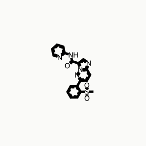 CS(=O)(=O)c1ccccc1-c1ccc2ncc(C(=O)Nc3ccccn3)n2n1